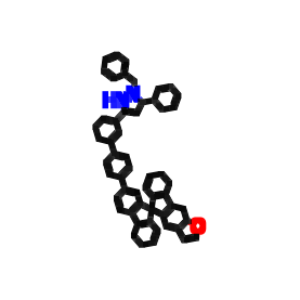 C1=CCC(C2C=C(C3=CCCC(c4ccc(-c5ccc6c(c5)C5(C7=C(CCC=C7)C7=C5C=C5C=COC5C7)C5=C6CCC=C5)cc4)=C3)NN2Cc2ccccc2)C=C1